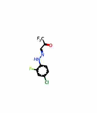 O=C(/C=N/Nc1ccc(Cl)cc1F)C(F)(F)F